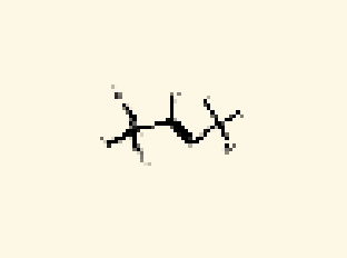 CCC(C)(C)/C=C(\C)C(C)(F)F